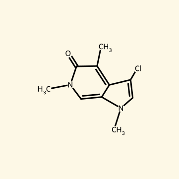 Cc1c(=O)n(C)cc2c1c(Cl)cn2C